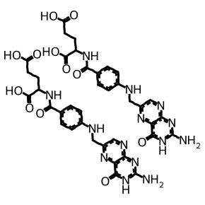 Nc1nc2ncc(CNc3ccc(C(=O)NC(CCC(=O)O)C(=O)O)cc3)nc2c(=O)[nH]1.Nc1nc2ncc(CNc3ccc(C(=O)NC(CCC(=O)O)C(=O)O)cc3)nc2c(=O)[nH]1